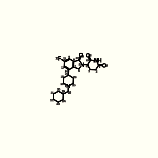 O=C1CCC(N2Cc3c(cc(F)cc3C3CCN(CC4CCCCC4)CC3)C2=O)C(=O)N1